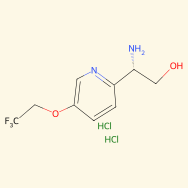 Cl.Cl.N[C@H](CO)c1ccc(OCC(F)(F)F)cn1